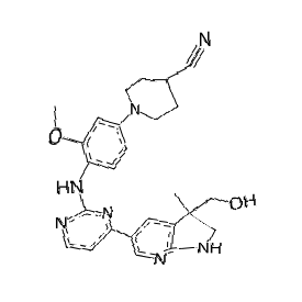 COc1cc(N2CCC(C#N)CC2)ccc1Nc1nccc(-c2cnc3c(c2)C(C)(CO)CN3)n1